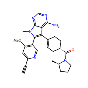 C#Cc1cc(OC)c(-c2c(C3=CC[C@@H](C(=O)N4CCC[C@H]4C)CC3)c3c(N)ncnc3n2C)cn1